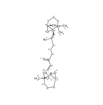 CC(=O)/C(=C\[C@@]12O[C@]1(C)CCCC2(C)C)CCCC(=O)/C=C/[C@]12O[C@@]1(C)CCCC2(C)C